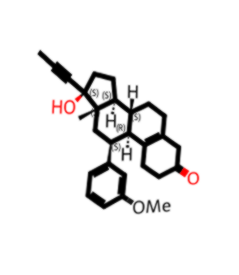 CC#C[C@]1(O)CC[C@H]2[C@@H]3CCC4=C(CCC(=O)C4)[C@H]3[C@@H](c3cccc(OC)c3)C[C@@]21C